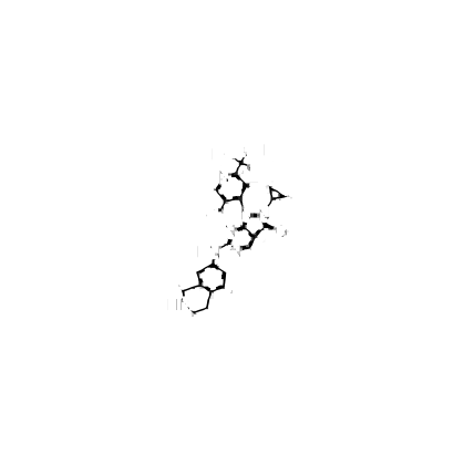 CC(C)(C)c1cc(-n2c3nc(Nc4ccc5c(c4)CNCC5)ncc3c(=O)n2C2CC2)c(Cl)cn1